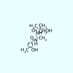 Cc1ccc(C(=O)N[C@@H](C)CNC(=O)C(C)C(C)(C)CCO)cc1O